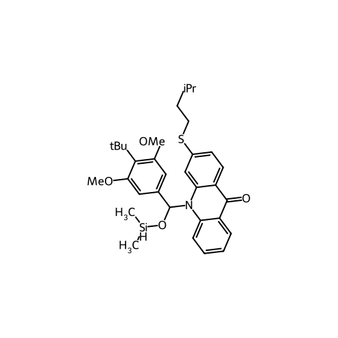 COc1cc(C(O[SiH](C)C)n2c3ccccc3c(=O)c3ccc(SCCC(C)C)cc32)cc(OC)c1C(C)(C)C